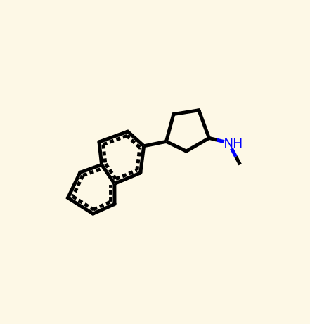 CNC1CCC(c2ccc3ccccc3c2)C1